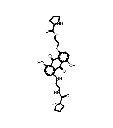 O=C1c2c(O)ccc(NCCNC(=O)C3CCCN3)c2C(=O)c2c(O)ccc(NCCNC(=O)C3CCCN3)c21